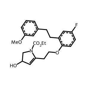 CCOC(=O)N1CC(O)C=C1CCOc1ccc(F)cc1CCc1cccc(OC)c1